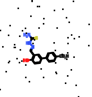 NC(=S)NN=Cc1cc(-c2ccc(C(=O)O)cc2)ccc1O